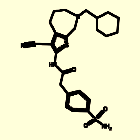 N#Cc1c(NC(=O)Cc2ccc(S(N)(=O)=O)cc2)sc2c1CCCN(CC1CCCCC1)C2